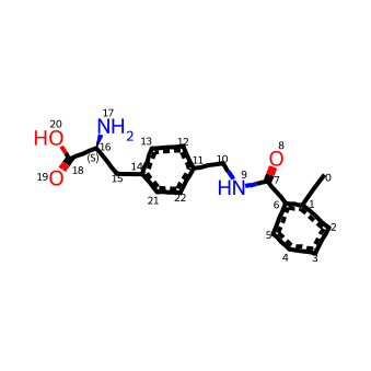 Cc1ccccc1C(=O)NCc1ccc(C[C@H](N)C(=O)O)cc1